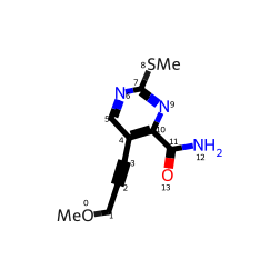 COCC#Cc1cnc(SC)nc1C(N)=O